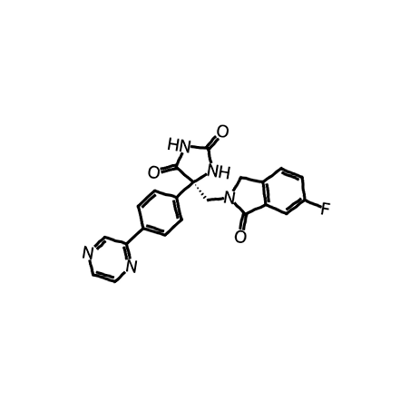 O=C1NC(=O)[C@](CN2Cc3ccc(F)cc3C2=O)(c2ccc(-c3cnccn3)cc2)N1